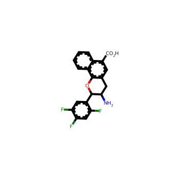 NC1Cc2cc(C(=O)O)c3ccccc3c2OC1c1cc(F)c(F)cc1F